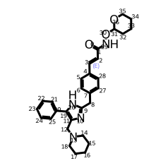 O=C(/C=C/c1ccc(Cc2nc(CN3CCCCC3)c(-c3ccccc3)[nH]2)cc1)NOC1CCCCO1